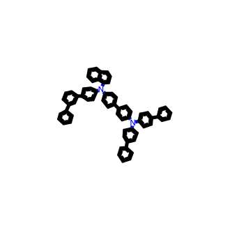 c1ccc(-c2ccc(N(c3ccc(-c4ccccc4)cc3)c3ccc(-c4ccc(N(c5ccc(-c6cccc(-c7ccccc7)c6)cc5)c5cccc6ccccc56)cc4)cc3)cc2)cc1